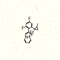 CCC1(c2cc(F)cc(F)c2-c2cn3ccccc3n2)CC1C